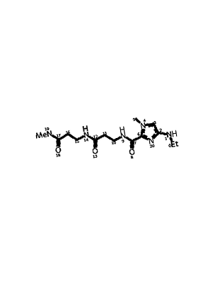 CCNc1cn(C)c(C(=O)NCCC(=O)NCCC(=O)NC)n1